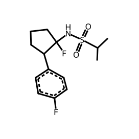 CC(C)S(=O)(=O)NC1(F)CCCC1c1ccc(F)cc1